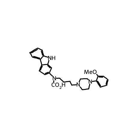 COc1ccccc1N1CCN(CCCCN(C(=O)O)c2ccc3c(c2)[nH]c2ccccc23)CC1